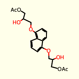 CC(=O)OCC(O)COc1cccc2c(OCC(O)COC(C)=O)cccc12